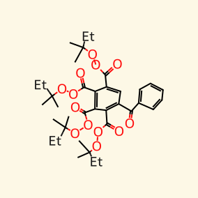 CCC(C)(C)OOC(=O)c1cc(C(=O)c2ccccc2)c(C(=O)OOC(C)(C)CC)c(C(=O)OOC(C)(C)CC)c1C(=O)OOC(C)(C)CC